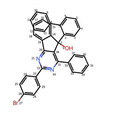 OC1(c2ccccc2-c2ccccc2)c2ccccc2-c2nc(-c3ccc(Br)cc3)nc(-c3ccccc3)c21